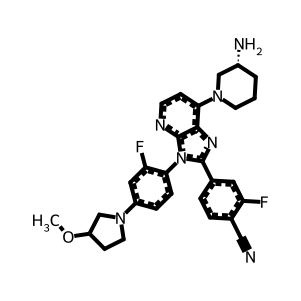 COC1CCN(c2ccc(-n3c(-c4ccc(C#N)c(F)c4)nc4c(N5CCC[C@@H](N)C5)ccnc43)c(F)c2)C1